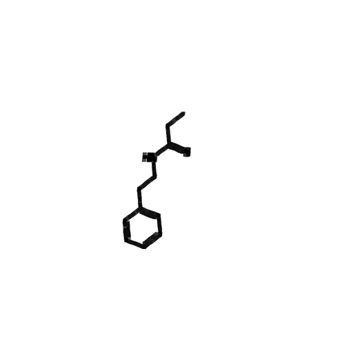 CCC(=S)NCCc1ccccc1